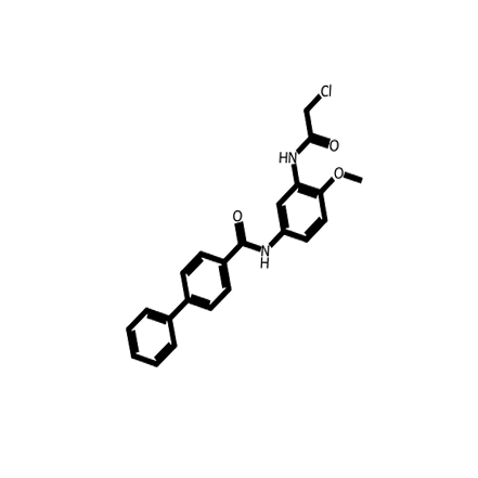 COc1ccc(NC(=O)c2ccc(-c3ccccc3)cc2)cc1NC(=O)CCl